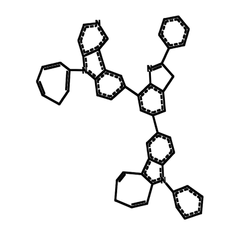 C1=CCC=C(n2c3ccncc3c3cc(-c4cc(-c5ccc6c(c5)c5c(n6-c6ccccc6)C=CCC=C5)cc5c4N=C(c4ccccc4)C5)ccc32)C=C1